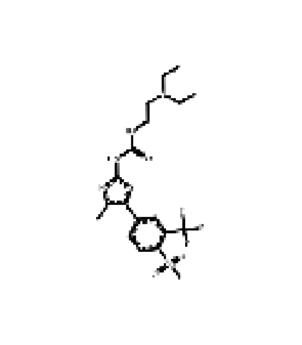 CCN(CC)CCNC(=O)Nc1nc(C)c(-c2ccc(S(C)(=O)=O)c(C(F)(F)F)c2)s1